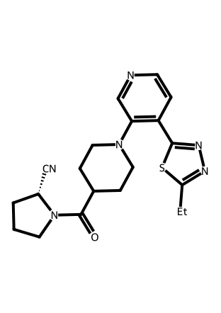 CCc1nnc(-c2ccncc2N2CCC(C(=O)N3CCC[C@@H]3C#N)CC2)s1